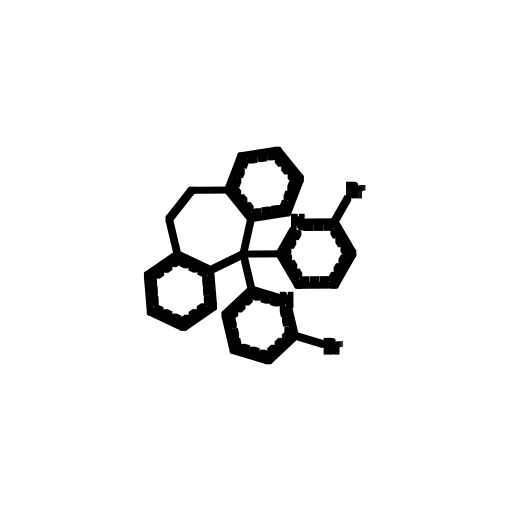 Brc1cccc(C2(c3cccc(Br)n3)c3ccccc3CCc3ccccc32)n1